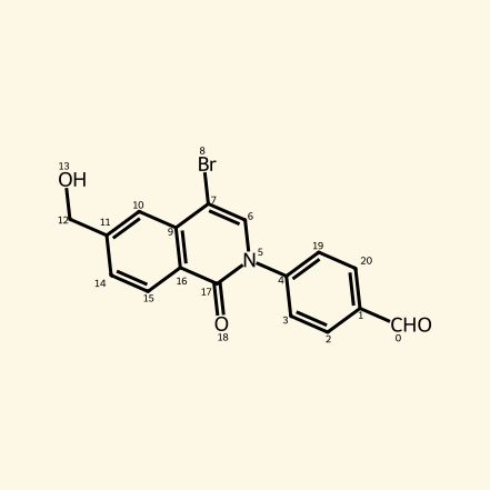 O=Cc1ccc(-n2cc(Br)c3cc(CO)ccc3c2=O)cc1